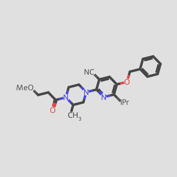 COCCC(=O)N1CCN(c2nc(C(C)C)c(OCc3ccccc3)cc2C#N)CC1C